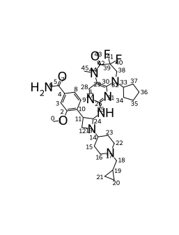 COc1cc(C(N)=O)ccc1C1CN(C2CCN(CC3CC3)CC2)C1Nc1ncc2c(n1)N(C1CCCC1)CC(F)(F)C(=O)N2C